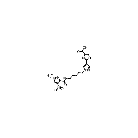 Cn1cc([N+](=O)[O-])c(C(=O)NCCCCCn2cc(-c3nc(C(=O)O)co3)cn2)n1